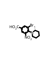 C[C@@H]1CCCCN1c1c(Br)cc(C(=O)O)cc1[N+](=O)[O-]